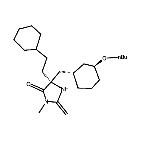 C=C1N[C@](CCC2CCCCC2)(C[C@H]2CCC[C@H](OCCCC)C2)C(=O)N1C